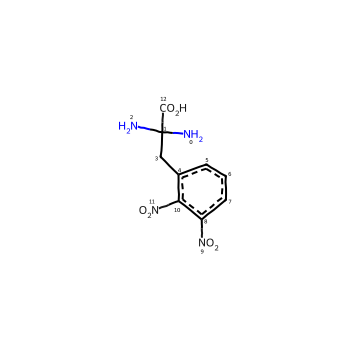 NC(N)(Cc1cccc([N+](=O)[O-])c1[N+](=O)[O-])C(=O)O